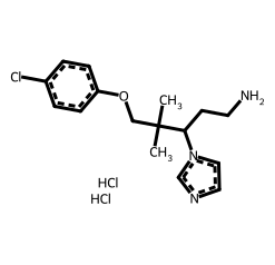 CC(C)(COc1ccc(Cl)cc1)C(CCN)n1ccnc1.Cl.Cl